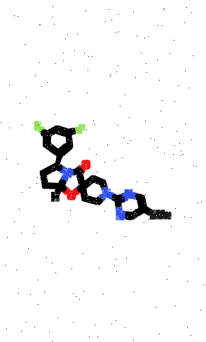 CSc1cnc(N2CCC3(CC2)O[C@@H]2CC[C@@H](c4cc(F)cc(F)c4)N2C3=O)nc1